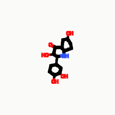 O=c1c(O)c(-c2ccc(O)c(O)c2)[nH]c2ccc(O)cc12